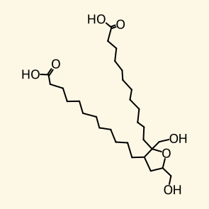 O=C(O)CCCCCCCCCCCC1CC(CO)OC1(CO)CCCCCCCCCCCC(=O)O